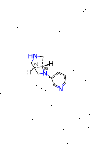 c1cncc(N2C[C@@H]3CNC[C@@H]32)c1